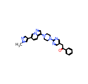 Cn1cc(-c2ccc3c(N4CCN(c5ncc(CC(=O)c6ccccc6)cn5)CC4)cnn3c2)cn1